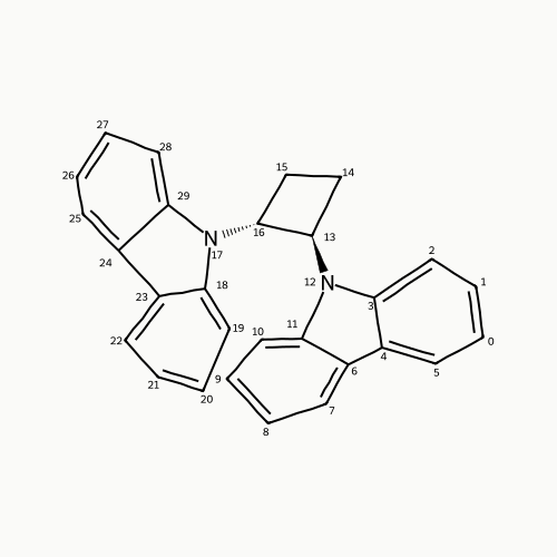 c1ccc2c(c1)c1ccccc1n2[C@@H]1CC[C@H]1n1c2ccccc2c2ccccc21